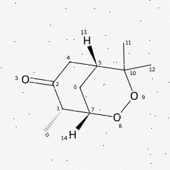 C[C@@H]1C(=O)C[C@H]2C[C@@H]1OOC2(C)C